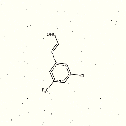 O=CC=Nc1cc(Cl)cc(C(F)(F)F)c1